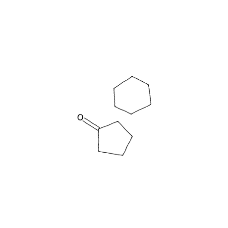 C1CCCCC1.O=C1CCCC1